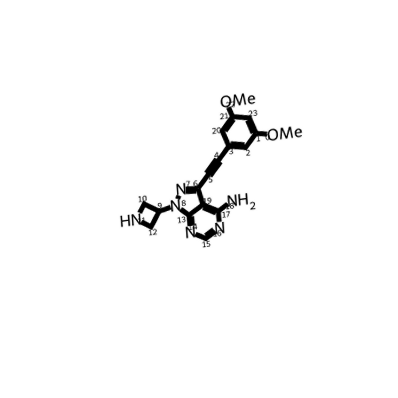 COc1cc(C#Cc2nn(C3CNC3)c3ncnc(N)c23)cc(OC)c1